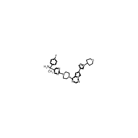 C[C@](N)(c1ccc(F)cc1)c1cnc(N2CCN(c3ncnn4cc(-c5cnn(C6CCOCC6)c5)cc34)CC2)nc1